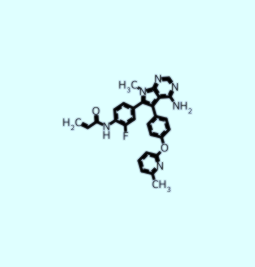 C=CC(=O)Nc1ccc(-c2c(-c3ccc(Oc4cccc(C)n4)cc3)c3c(N)ncnc3n2C)cc1F